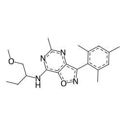 CCC(COC)Nc1nc(C)nc2c(-c3c(C)cc(C)cc3C)noc12